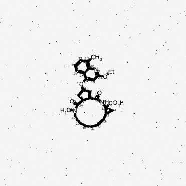 CCOc1cc(OC2CC3C(=O)NC4(C(=O)O)CC4C=CCCCCN(C)C(=O)C3C2)c2cccc(C)c2n1